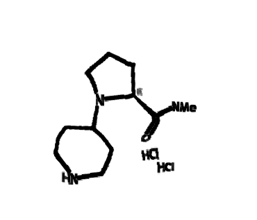 CNC(=O)[C@@H]1CCCN1C1CCNCC1.Cl.Cl